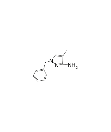 Cc1cn(Cc2ccccc2)nc1N